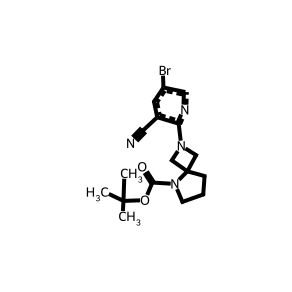 CC(C)(C)OC(=O)N1CCCC12CN(c1ncc(Br)cc1C#N)C2